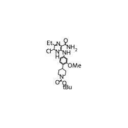 CCC1=NC(C(N)=O)=C(Nc2ccc(C3CCN(C(=O)OC(C)(C)C)CC3)c(OC)c2)NC1Cl